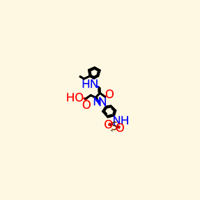 CCc1ccccc1N/C=C1/C(=O)N(c2ccc(NS(C)(=O)=O)cc2)N=C1CC(=O)O